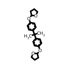 CC(C)(c1ccc(OC2CCCO2)cc1)c1ccc(OC2CCCO2)cc1